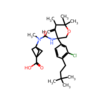 C=C1C(C)C(C)(C)OC[C@]1(NC(=O)N(C)C12CC(C(=O)O)(C1)C2)c1ccc(CCC(C)(C)C)c(Cl)c1